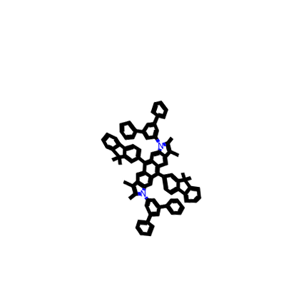 Cc1c(C)n(-c2cc(-c3ccccc3)cc(-c3ccccc3)c2)c2cc3c(-c4ccc5c(c4)C(C)(C)c4ccccc4-5)c4cc5c(C)c(C)n(-c6cc(-c7ccccc7)cc(-c7ccccc7)c6)c5cc4c(-c4ccc5c(c4)C(C)(C)c4ccccc4-5)c3cc12